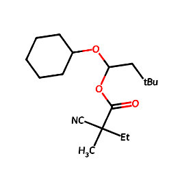 CCC(C)(C#N)C(=O)OC(CC(C)(C)C)OC1CCCCC1